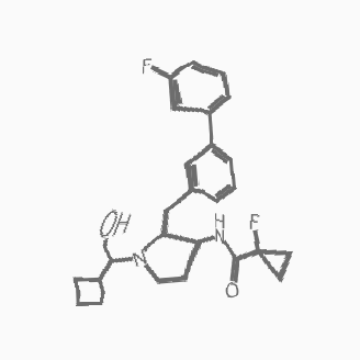 O=C(NC1CCN(C(O)C2CCC2)C1Cc1cccc(-c2cccc(F)c2)c1)C1(F)CC1